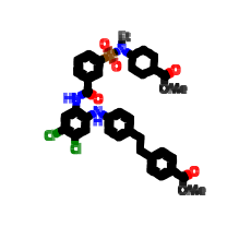 CCN(C1CCC(C(=O)OC)CC1)S(=O)(=O)c1cccc(C(=O)Nc2cc(Cl)c(Cl)cc2Nc2ccc(CCc3ccc(C(=O)OC)cc3)cc2)c1